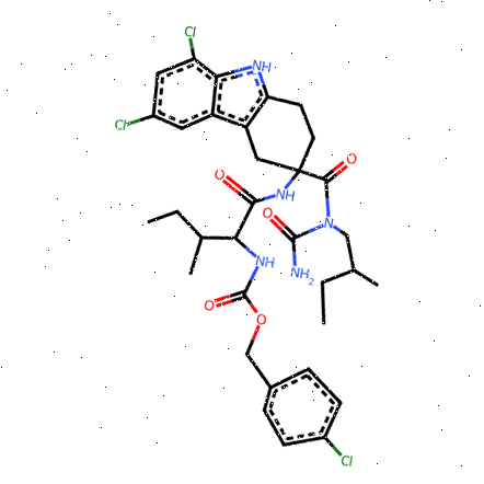 CCC(C)CN(C(N)=O)C(=O)C1(NC(=O)C(NC(=O)OCc2ccc(Cl)cc2)C(C)CC)CCc2[nH]c3c(Cl)cc(Cl)cc3c2C1